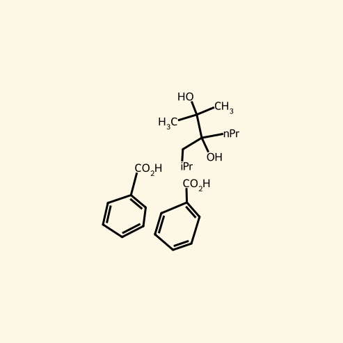 CCCC(O)(CC(C)C)C(C)(C)O.O=C(O)c1ccccc1.O=C(O)c1ccccc1